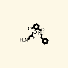 NC/C=C(\F)COc1c(Cl)cccc1C(=O)NCCc1ccccc1